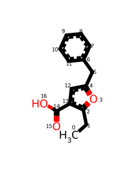 CCc1oc(Cc2ccccc2)cc1C(=O)O